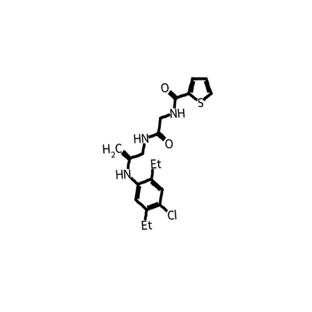 C=C(CNC(=O)CNC(=O)c1cccs1)Nc1cc(CC)c(Cl)cc1CC